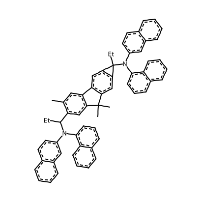 CCC(c1cc2c(cc1C)-c1cc3c(cc1C2(C)C)C3(CC)N(c1ccc2ccccc2c1)c1cccc2ccccc12)N(c1ccc2ccccc2c1)c1cccc2ccccc12